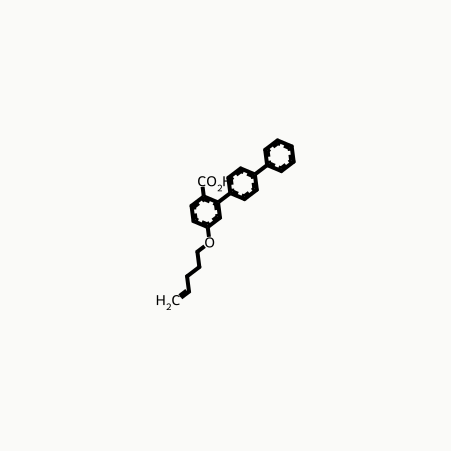 C=CCCCOc1ccc(C(=O)O)c(-c2ccc(-c3ccccc3)cc2)c1